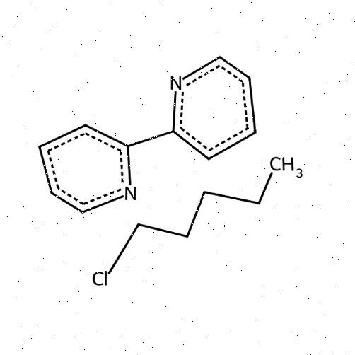 CCCCCCl.c1ccc(-c2ccccn2)nc1